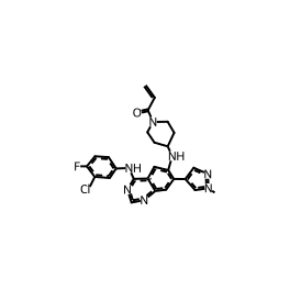 C=CC(=O)N1CCC(Nc2cc3c(Nc4ccc(F)c(Cl)c4)ncnc3cc2-c2cnn(C)c2)CC1